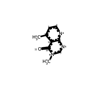 Cc1ccnc2ncn(C)c(=O)c12